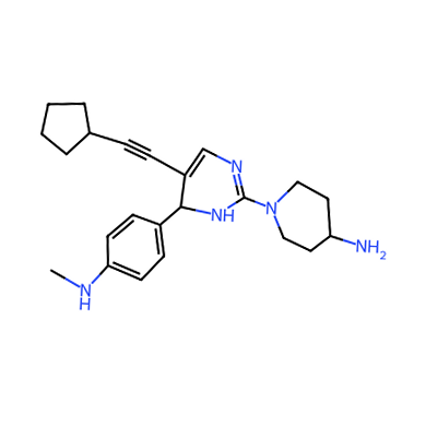 CNc1ccc(C2NC(N3CCC(N)CC3)=NC=C2C#CC2CCCC2)cc1